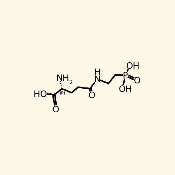 N[C@H](CCC(=O)NCCP(=O)(O)O)C(=O)O